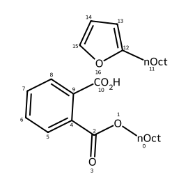 CCCCCCCCOC(=O)c1ccccc1C(=O)O.CCCCCCCCc1ccco1